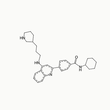 O=C(NC1CCCCC1)c1ccc(-c2cc(NCCCC3CCCNC3)c3ccccc3n2)cc1